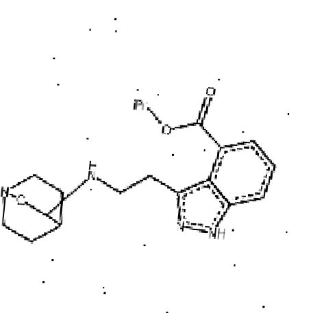 CC(C)OC(=O)c1cccc2[nH]nc(CCNC3CN4CCC3CC4)c12